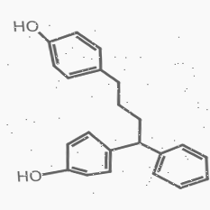 Oc1ccc(CCCC(c2ccccc2)c2ccc(O)cc2)cc1